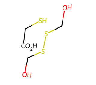 O=C(O)CS.OCSSCO